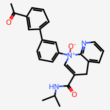 CC(=O)c1cccc(-c2cccc([N+]3([O-])C=C(C(=O)NC(C)C)Cc4cccnc43)c2)c1